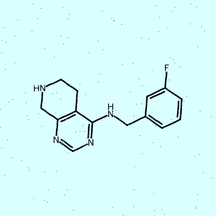 Fc1cccc(CNc2ncnc3c2CCNC3)c1